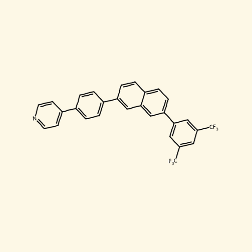 FC(F)(F)c1cc(-c2ccc3ccc(-c4ccc(-c5ccncc5)cc4)cc3c2)cc(C(F)(F)F)c1